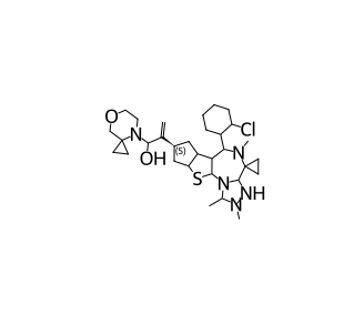 C=C(C(O)N1CCOCC12CC2)[C@@H]1CC2SC3C(C2C1)C(C1CCCCC1Cl)N(C)C1(CC1)C1NN(C)C(C)N31